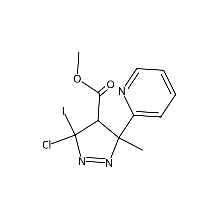 COC(=O)C1C(Cl)(I)N=NC1(C)c1ccccn1